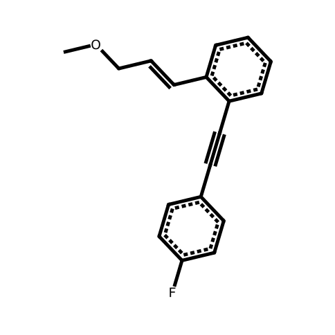 COC/C=C/c1ccccc1C#Cc1ccc(F)cc1